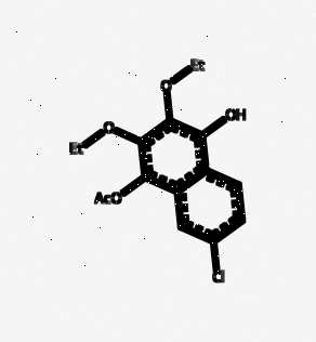 CCOc1c(OCC)c(OC(C)=O)c2cc(Cl)ccc2c1O